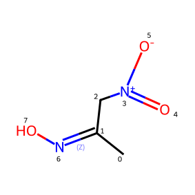 C/C(C[N+](=O)[O-])=N/O